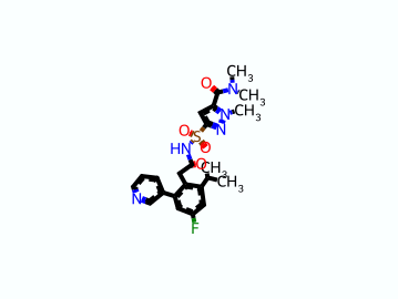 CC(C)c1cc(F)cc(-c2cccnc2)c1CC(=O)NS(=O)(=O)c1cc(C(=O)N(C)C)n(C)n1